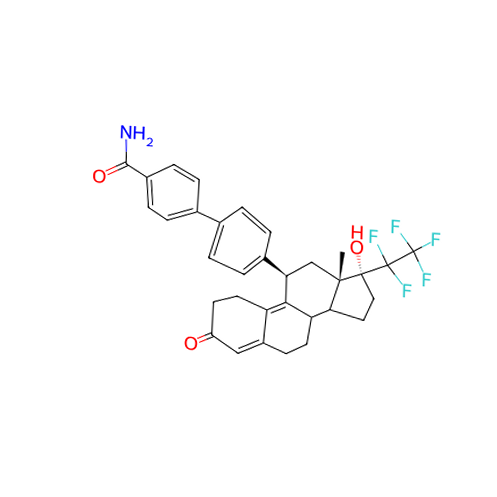 C[C@]12C[C@H](c3ccc(-c4ccc(C(N)=O)cc4)cc3)C3=C4CCC(=O)C=C4CCC3C1CC[C@]2(O)C(F)(F)C(F)(F)F